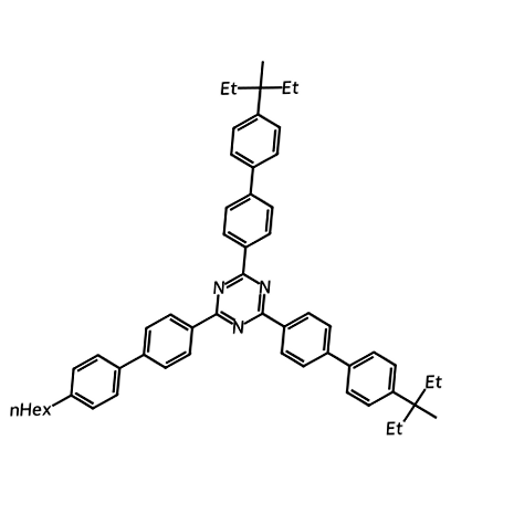 CCCCCCc1ccc(-c2ccc(-c3nc(-c4ccc(-c5ccc(C(C)(CC)CC)cc5)cc4)nc(-c4ccc(-c5ccc(C(C)(CC)CC)cc5)cc4)n3)cc2)cc1